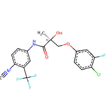 [C-]#[N+]c1ccc(NC(=O)[C@@](C)(O)COc2ccc(Cl)c(F)c2)cc1C(F)(F)F